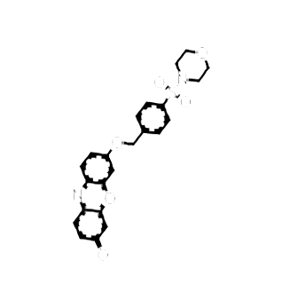 O=c1ccc2nc3ccc(OCc4ccc(S(=O)(=O)N5CCOCC5)cc4)cc3oc-2c1